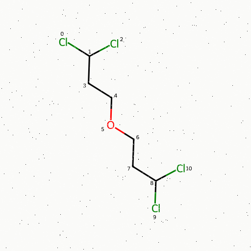 ClC(Cl)CCOCCC(Cl)Cl